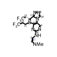 CN/C=C\Nc1ncc2c(n1)N(CCC(F)(F)F)[C@H](CC(F)(F)F)c1nncn1-2